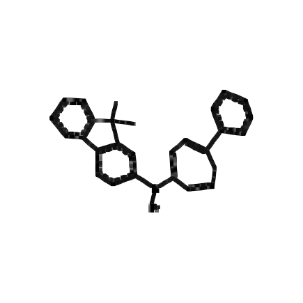 CC(C)N(C1=CC=C(c2ccccc2)CC=C1)c1ccc2c(c1)C(C)(C)c1ccccc1-2